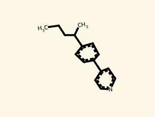 CCCC(C)c1ccc(-c2ccncc2)cc1